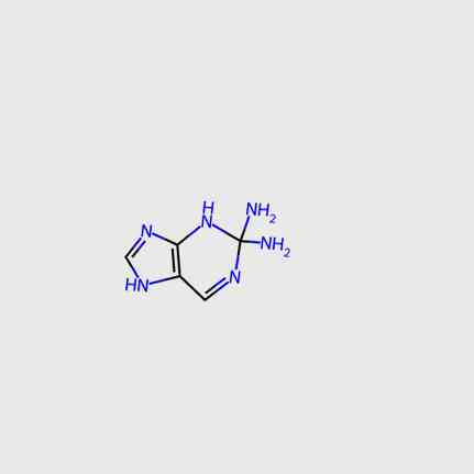 NC1(N)N=Cc2[nH]cnc2N1